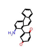 Nc1ccc2c(ccc3ccccc32)c1C1=CC(=O)C=CC1=O